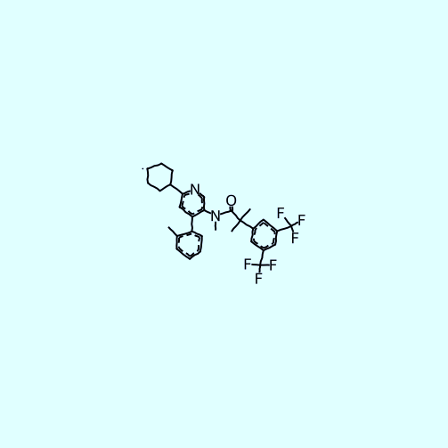 Cc1ccccc1-c1cc(C2CC[CH]CC2)ncc1N(C)C(=O)C(C)(C)c1cc(C(F)(F)F)cc(C(F)(F)F)c1